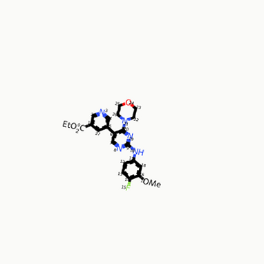 CCOC(=O)c1cncc(-c2cnc(Nc3ccc(F)c(OC)c3)nc2N2CCOCC2)c1